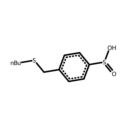 CCCCSCc1ccc(S(=O)O)cc1